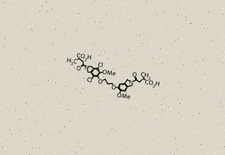 COc1cc2c(cc1OCCCOc1c(Cl)c3c(c(Cl)c1OC)CN(C(=O)CC(C)C(=O)O)C3)CN(C(=O)CC(C)C(=O)O)C2